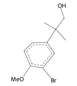 COc1ccc(C(C)(C)CO)cc1Br